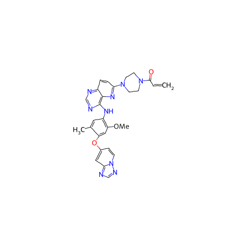 C=CC(=O)N1CCN(c2ccc3ncnc(Nc4cc(C)c(Oc5ccn6ncnc6c5)cc4OC)c3n2)CC1